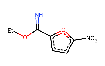 CCOC(=N)c1ccc([N+](=O)[O-])o1